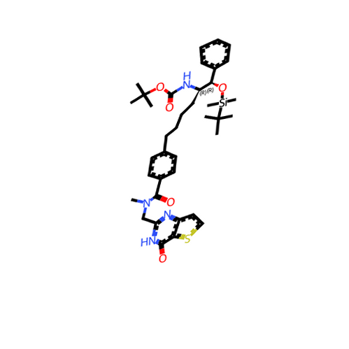 CN(Cc1nc2ccsc2c(=O)[nH]1)C(=O)c1ccc(CCCC[C@@H](NC(=O)OC(C)(C)C)[C@H](O[Si](C)(C)C(C)(C)C)c2ccccc2)cc1